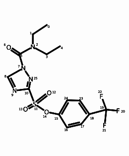 CCN(CC)C(=O)n1cnc(S(=O)(=O)Oc2ccc(C(F)(F)F)cc2)n1